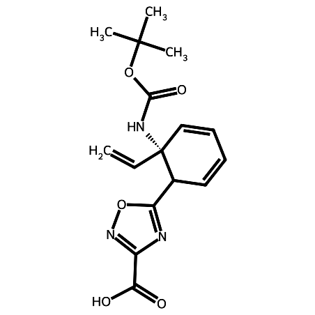 C=C[C@@]1(NC(=O)OC(C)(C)C)C=CC=CC1c1nc(C(=O)O)no1